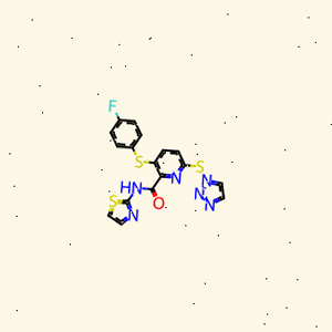 O=C(Nc1nccs1)c1nc(Sn2ccnn2)ccc1Sc1ccc(F)cc1